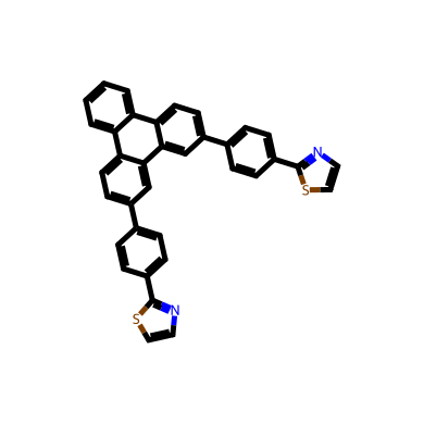 c1ccc2c(c1)c1ccc(-c3ccc(-c4nccs4)cc3)cc1c1cc(-c3ccc(-c4nccs4)cc3)ccc21